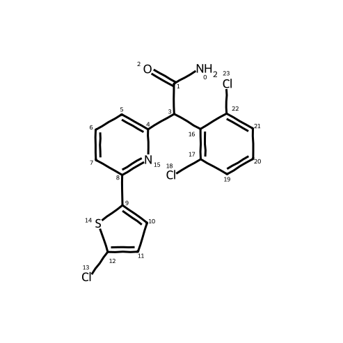 NC(=O)C(c1cccc(-c2ccc(Cl)s2)n1)c1c(Cl)cccc1Cl